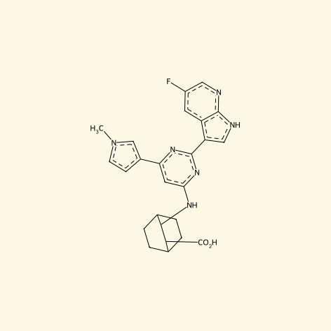 Cn1ccc(-c2cc(NC3C4CCC(CC4)C3C(=O)O)nc(-c3c[nH]c4ncc(F)cc34)n2)c1